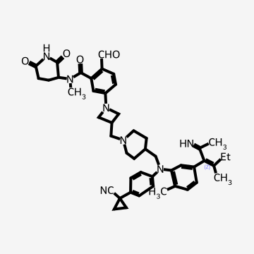 CC/C(C)=C(\C(C)=N)c1ccc(C)c(N(CC2CCN(CC3CN(c4ccc(C=O)c(C(=O)N(C)C5CCC(=O)NC5=O)c4)C3)CC2)c2ccc(C3(C#N)CC3)cc2)c1